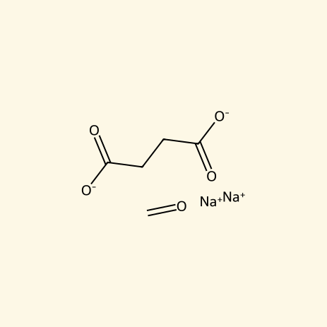 C=O.O=C([O-])CCC(=O)[O-].[Na+].[Na+]